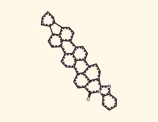 O=c1c2ccc3c4ccc5c6ccc7c8c(ccc(c9ccc(c%10ccc(c2c3%10)c2nc3ccccc3n12)c4c59)c86)-c1ccccc1-7